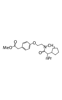 CCCC(C(=O)N(C)CCOc1ccc(CC(=O)OC)cc1)C1CCCC1